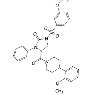 COc1cccc(S(=O)(=O)N2CC(C(=O)N3CCC(c4ccccc4OC)CC3)N(c3ccccc3)C2=O)c1